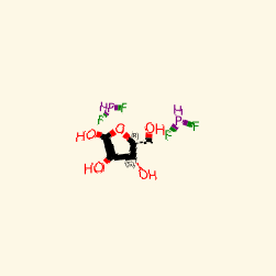 FPF.FPF.OC[C@H]1OC(O)=C(O)[C@H]1O